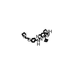 O=C1NCC[C@@]12Cc1cnc(Nc3ccc(OCCN4CCCC4)cc3)nc1N(C13CC(C1)C3)C2=O